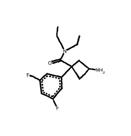 CCN(CC)C(=O)C1(c2cc(F)cc(F)c2)CC(N)C1